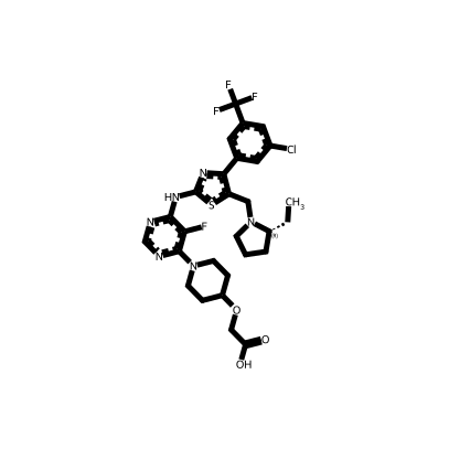 CC[C@@H]1CCCN1Cc1sc(Nc2ncnc(N3CCC(OCC(=O)O)CC3)c2F)nc1-c1cc(Cl)cc(C(F)(F)F)c1